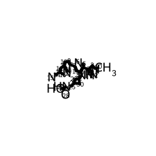 Cn1cc(-c2cnc(-c3ccc4cc(C#N)cnn34)cc2NC2CC(CNC(=O)O)C2)nn1